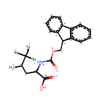 [2H]C([2H])([2H])C(C)CC(NC(=O)OCC1c2ccccc2-c2ccccc21)C(=O)O